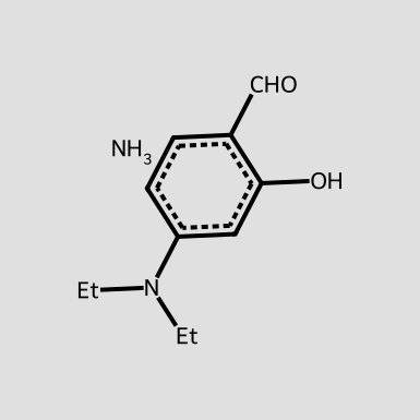 CCN(CC)c1ccc(C=O)c(O)c1.N